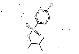 CC(C)C(C)OS(=O)(=O)c1ccc(Cl)cc1